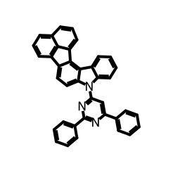 c1ccc(-c2cc(-n3c4ccccc4c4c5c(ccc43)-c3cccc4cccc-5c34)nc(-c3ccccc3)n2)cc1